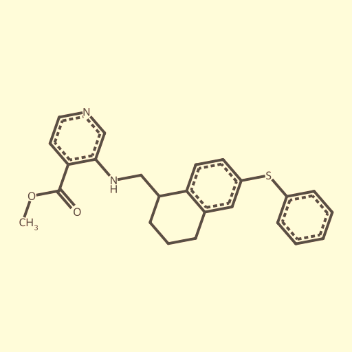 COC(=O)c1ccncc1NCC1CCCc2cc(Sc3ccccc3)ccc21